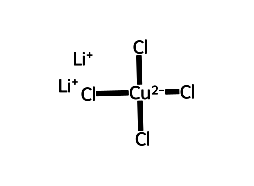 [Cl][Cu-2]([Cl])([Cl])[Cl].[Li+].[Li+]